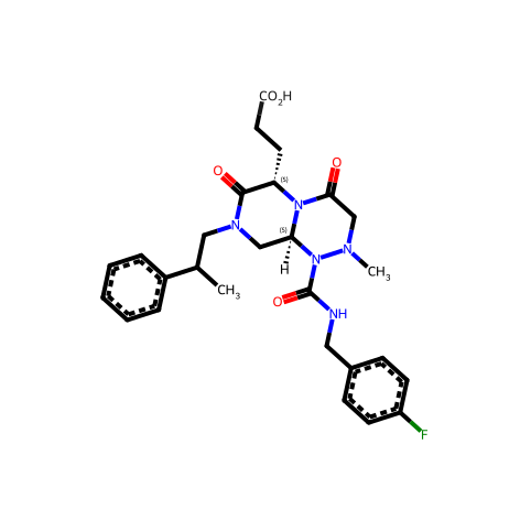 CC(CN1C[C@H]2N(C(=O)CN(C)N2C(=O)NCc2ccc(F)cc2)[C@@H](CCC(=O)O)C1=O)c1ccccc1